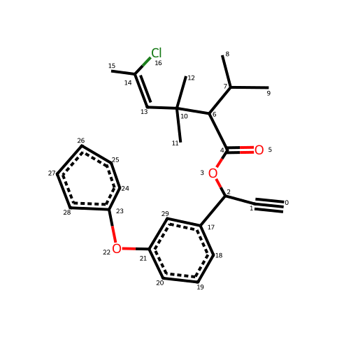 C#CC(OC(=O)C(C(C)C)C(C)(C)C=C(C)Cl)c1cccc(Oc2ccccc2)c1